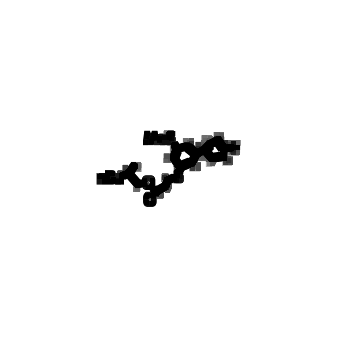 CCCCC(C)COC(=O)CCSc1cc(SC)cc(-c2ccc(F)cc2)c1